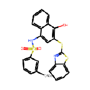 COc1cccc(S(=O)(=O)Nc2cc(Sc3nc4ccccc4s3)c(O)c3ccccc23)c1